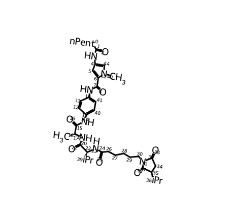 CCCCCC(=O)Nc1cc(C(=O)Nc2ccc(NC(=O)[C@H](C)NC(=O)[C@@H](NC(=O)CCCCCN3C(=O)CC(C(C)C)C3=O)C(C)C)cc2)n(C)c1